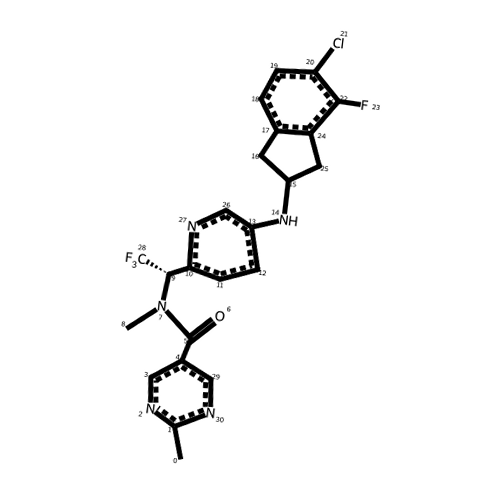 Cc1ncc(C(=O)N(C)[C@@H](c2ccc(NC3Cc4ccc(Cl)c(F)c4C3)cn2)C(F)(F)F)cn1